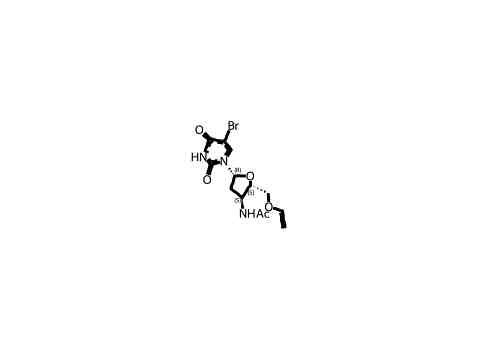 C=COC[C@H]1O[C@@H](n2cc(Br)c(=O)[nH]c2=O)C[C@@H]1NC(C)=O